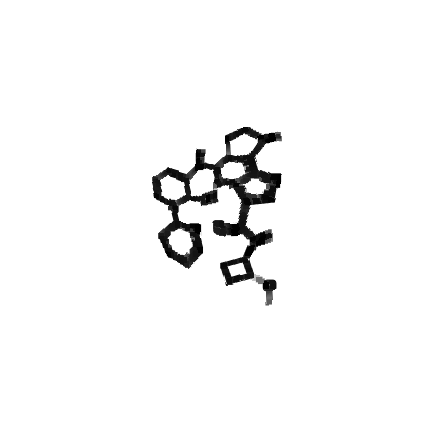 CO[C@@H]1CC[C@H]1NC(=O)c1cnc2c3c(c(NC4=CC=CN(c5ccccn5)C4O)nn12)CCN3